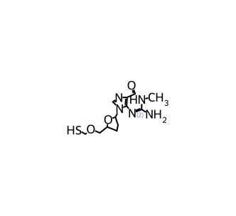 CN/C(N)=N\c1c(C=O)ncn1C1CCC(COCS)O1